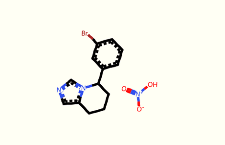 Brc1cccc(C2CCCc3cncn32)c1.O=[N+]([O-])O